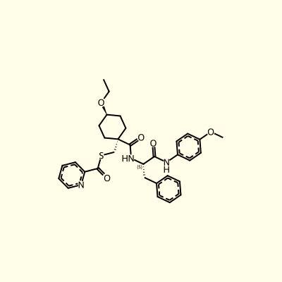 CCO[C@H]1CC[C@@](CSC(=O)c2ccccn2)(C(=O)N[C@@H](Cc2ccccc2)C(=O)Nc2ccc(OC)cc2)CC1